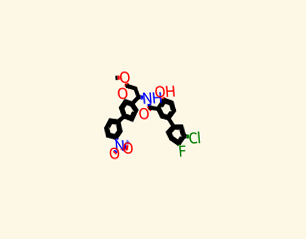 COC(=O)CC(NC(=O)c1cc(-c2ccc(F)c(Cl)c2)ccc1O)c1ccc(-c2cccc([N+](=O)[O-])c2)cc1